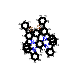 CC(C)c1cc(-c2c(-n3c4ccccc4c4cc5c(cc43)sc3ccccc35)c(-n3c4ccccc4c4ccccc43)c(C#N)c(-n3c4ccccc4c4ccccc43)c2-n2c3ccccc3c3cc4c(cc32)sc2ccccc24)cc(C(C)C)c1